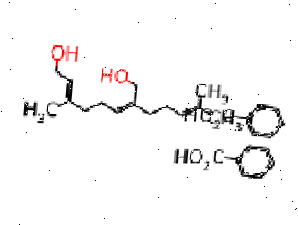 CC(C)=CCCC(=CCCC(C)=CCO)CO.O=C(O)c1ccccc1.O=C(O)c1ccccc1